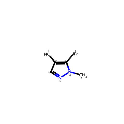 CC(C)c1c(C#N)cnn1C